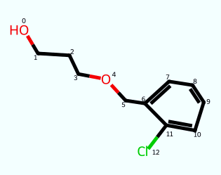 OCCCOCc1ccccc1Cl